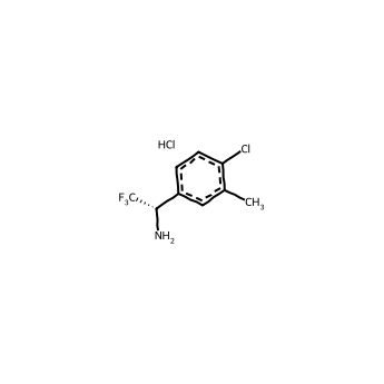 Cc1cc([C@H](N)C(F)(F)F)ccc1Cl.Cl